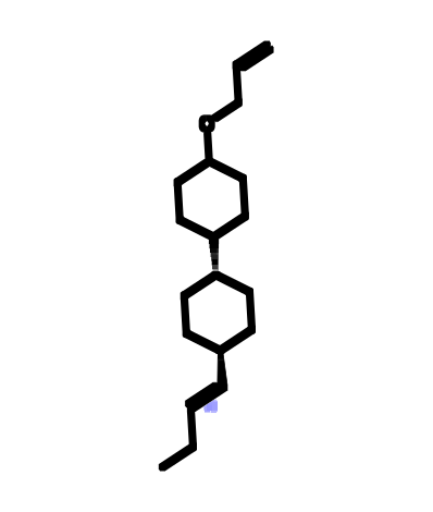 C=CCOC1CCC([C@H]2CC[C@H](/C=C/CC)CC2)CC1